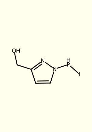 OCc1ccn(PI)n1